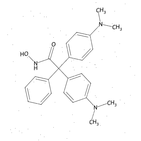 CN(C)c1ccc(C(C(=O)NO)(c2ccccc2)c2ccc(N(C)C)cc2)cc1